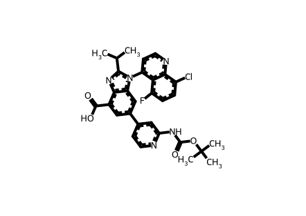 CC(C)c1nc2c(C(=O)O)cc(-c3ccnc(NC(=O)OC(C)(C)C)c3)cc2n1-c1ccnc2c(Cl)ccc(F)c12